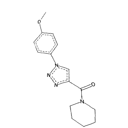 COc1ccc(-n2cc(C(=O)N3CCCCC3)nn2)cc1